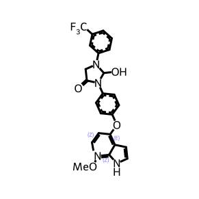 C\C=C/C(Oc1ccc(N2C(=O)CN(c3cccc(C(F)(F)F)c3)C2O)cc1)=C1/C=CN/C1=N\OC